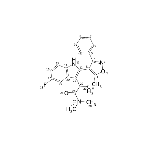 Cc1onc(-c2ccccc2)c1-c1[nH]c2ccc(F)cc2c1C(C)C(=O)N(C)C